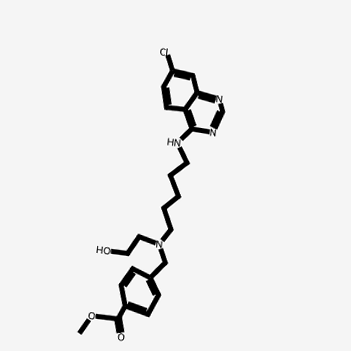 COC(=O)c1ccc(CN(CCO)CCCCCNc2ncnc3cc(Cl)ccc23)cc1